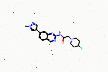 Cn1cc(-c2ccc3cnc(NC(=O)CN4CCC(F)CC4)nc3c2)cn1